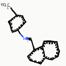 O=C(O)c1ccc(/N=C/c2cccc3ccccc23)cc1